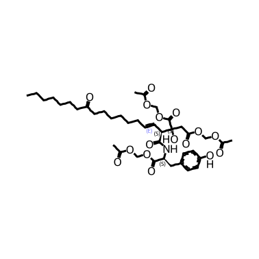 CCCCCCCC(=O)CCCCCC/C=C/[C@H](C(=O)N[C@@H](Cc1ccc(O)cc1)C(=O)OCOC(C)=O)[C@@](O)(CC(=O)OCOC(C)=O)C(=O)OCOC(C)=O